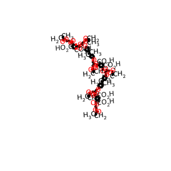 C=C(C)C(=O)OCCOC(=O)c1cc(C(=O)OC(COC(=O)C(=C)C)COc2ccc(C(C)(C)c3ccc(OCC(COC(=O)C(=C)C)OC(=O)c4cc(C(=O)OC(COC(=O)C(=C)C)COc5ccc(C(C)(C)c6ccc(OCC(COC(=O)C(=C)C)OC(=O)c7cc(C(=O)OCCOC(=O)C(=C)C)c(C(=O)O)cc7C(=O)O)cc6)cc5)c(C(=O)O)cc4C(=O)O)cc3)cc2)c(C(=O)O)cc1C(=O)O